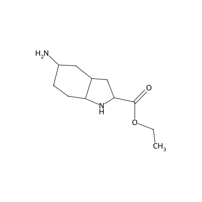 CCOC(=O)C1CC2CC(N)CCC2N1